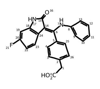 O=C(O)Cc1ccc(/C(Nc2ccccc2)=C2/C(=O)Nc3cc(F)ccc32)cc1